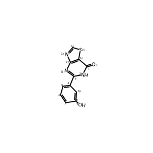 O=c1[nH]c(-c2cccc(O)c2)nc2ncsc12